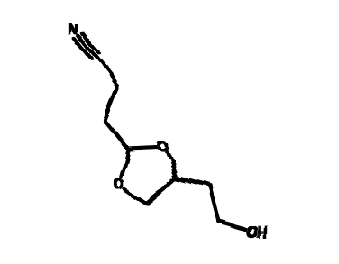 N#CCCC1OCC(CCO)O1